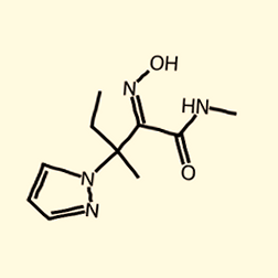 CCC(C)(C(=NO)C(=O)NC)n1cccn1